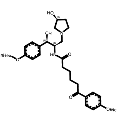 CCCCCCOc1ccc([C@@H](O)[C@@H](CN2CC[C@H](O)C2)NC(=O)CCCCC(=O)c2ccc(OC)cc2)cc1